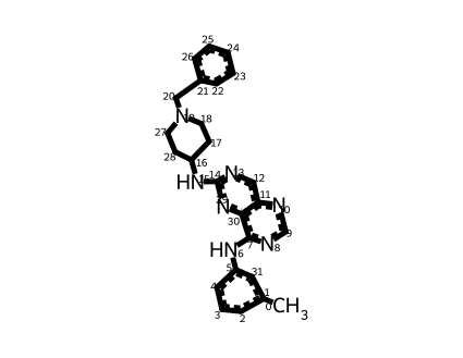 Cc1cccc(Nc2ncnc3cnc(NC4CCN(Cc5ccccc5)CC4)nc23)c1